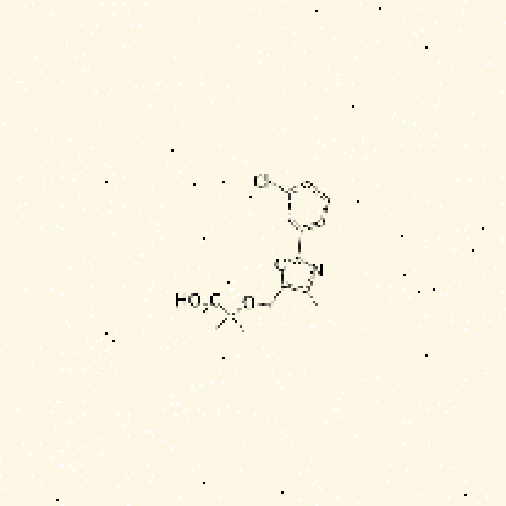 Cc1nc(-c2cccc(Cl)c2)oc1COC(C)(C)C(=O)O